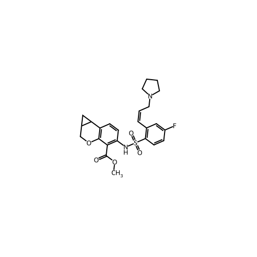 COC(=O)c1c(NS(=O)(=O)c2ccc(F)cc2/C=C\CN2CCCC2)ccc2c1OCC1CC21